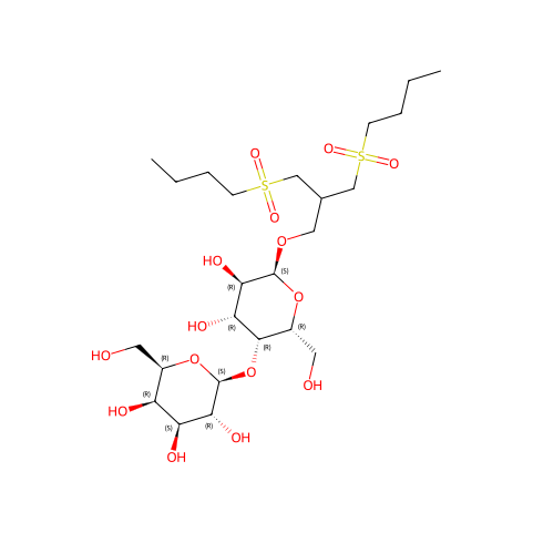 CCCCS(=O)(=O)CC(CO[C@H]1O[C@H](CO)[C@H](O[C@@H]2O[C@H](CO)[C@H](O)[C@H](O)[C@H]2O)[C@H](O)[C@H]1O)CS(=O)(=O)CCCC